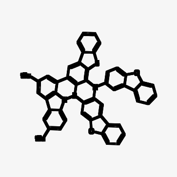 CC(C)(C)c1ccc2c(c1)c1cc(C(C)(C)C)cc3c1n2B1c2cc4oc5ccccc5c4cc2N(c2ccc4oc5ccccc5c4c2)c2c1c-3cc1c2sc2ccccc21